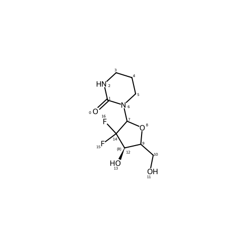 O=C1NCCCN1C1OC(CO)[C@@H](O)C1(F)F